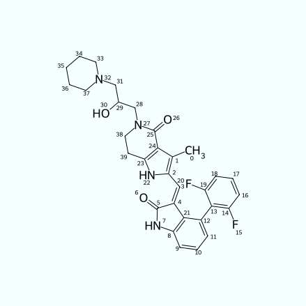 Cc1c(/C=C2\C(=O)Nc3cccc(-c4c(F)cccc4F)c32)[nH]c2c1C(=O)N(CC(O)CN1CCCCC1)CC2